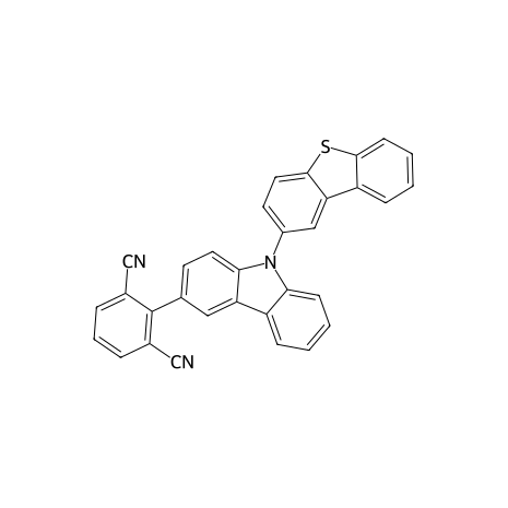 N#Cc1cccc(C#N)c1-c1ccc2c(c1)c1ccccc1n2-c1ccc2sc3ccccc3c2c1